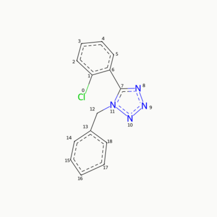 Clc1ccccc1-c1nnnn1Cc1ccccc1